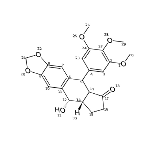 COc1cc(C2c3cc4c(cc3[C@@H](O)[C@H]3CCC(=O)C23)OCO4)cc(OC)c1OC